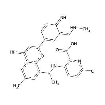 CN/C=C1/C=C(c2cc(=P)c3cc(C)cc(C(C)Nc4ccc(Cl)nc4C(=O)O)c3o2)C=CC1=N